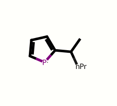 CCCC(C)C1=CC=C[P]1